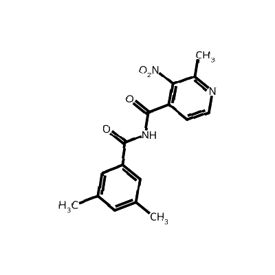 Cc1cc(C)cc(C(=O)NC(=O)c2ccnc(C)c2[N+](=O)[O-])c1